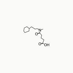 CN(CCCC1CCCCC1)C(=O)CCCC(=O)O